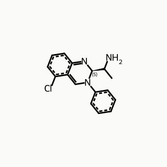 CC(N)[C@@H]1N=c2cccc(Cl)c2=CN1c1ccccc1